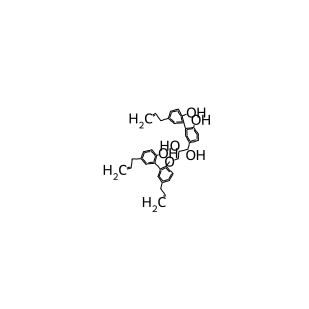 C=CCc1ccc(O)c(-c2cc(C(O)C(O)COc3ccc(CC=C)cc3-c3cc(CC=C)ccc3O)ccc2O)c1